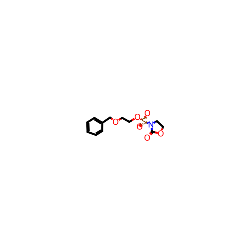 O=C1OCCN1S(=O)(=O)OCCOCc1ccccc1